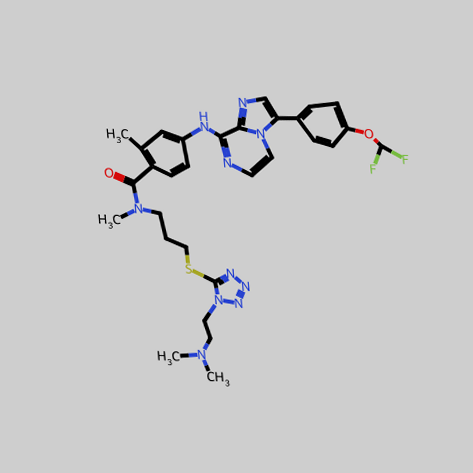 Cc1cc(Nc2nccn3c(-c4ccc(OC(F)F)cc4)cnc23)ccc1C(=O)N(C)CCCSc1nnnn1CCN(C)C